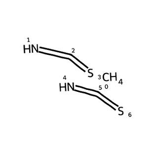 C.N=C=S.N=C=S